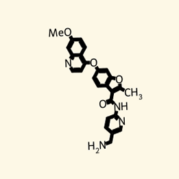 COc1ccc2c(Oc3ccc4c(C(=O)Nc5ccc(CN)cn5)c(C)oc4c3)ccnc2c1